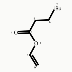 C=COC(=O)CCC(C)CC